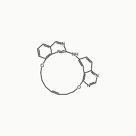 C1=C\CCOc2ncnc3ccc(cc23)Nc2ncc3cccc(c3n2)OCCC/1